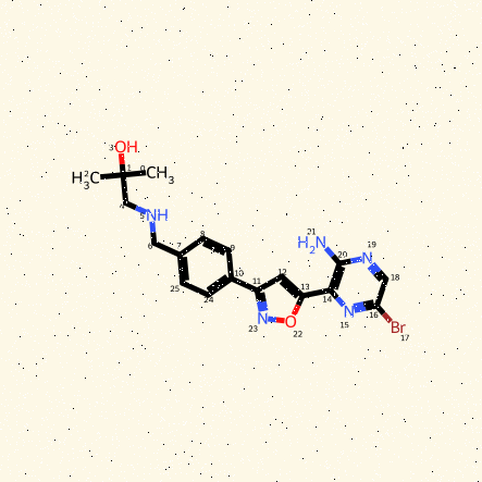 CC(C)(O)CNCc1ccc(-c2cc(-c3nc(Br)cnc3N)on2)cc1